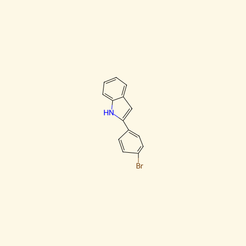 Brc1ccc(-c2cc3ccccc3[nH]2)cc1